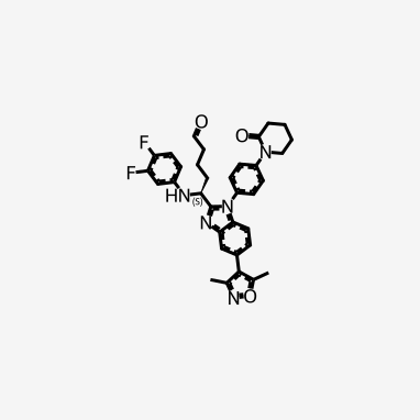 Cc1noc(C)c1-c1ccc2c(c1)nc([C@H](CCCC=O)Nc1ccc(F)c(F)c1)n2-c1ccc(N2CCCCC2=O)cc1